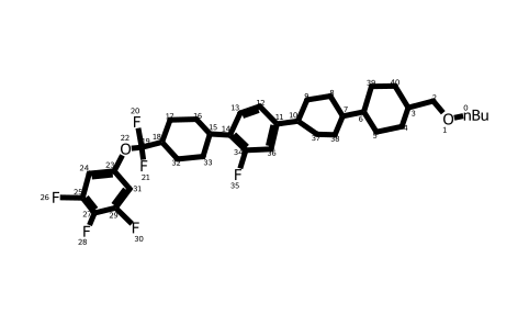 CCCCOCC1CCC(C2CCC(c3ccc(C4CCC(C(F)(F)Oc5cc(F)c(F)c(F)c5)CC4)c(F)c3)CC2)CC1